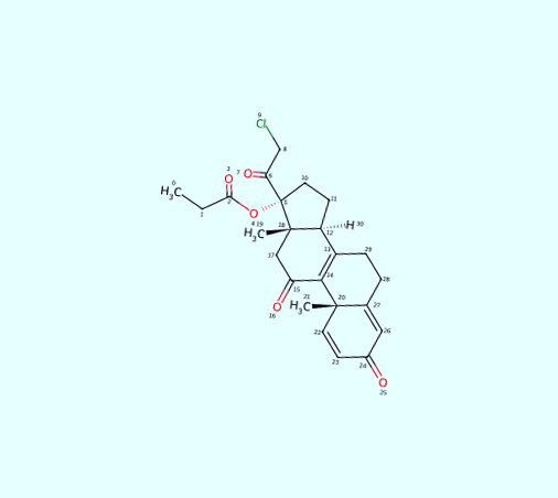 CCC(=O)O[C@]1(C(=O)CCl)CC[C@H]2C3=C(C(=O)C[C@@]21C)[C@@]1(C)C=CC(=O)C=C1CC3